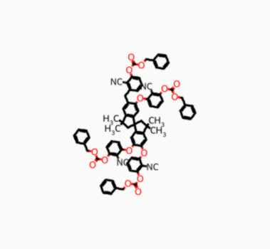 [C-]#[N+]c1c(OC(=O)OCc2ccccc2)cccc1Oc1cc2c(cc1Oc1cccc(OC(=O)OCc3ccccc3)c1[N+]#[C-])C1(CC(C)(C)c3cc(Cc4cccc(OC(=O)OCc5ccccc5)c4C#N)c(Oc4cccc(OC(=O)OCc5ccccc5)c4C#N)cc31)CC2(C)C